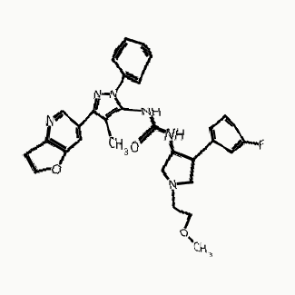 COCCN1CC(NC(=O)Nc2c(C)c(-c3cnc4c(c3)OCC4)nn2-c2ccccc2)C(c2cccc(F)c2)C1